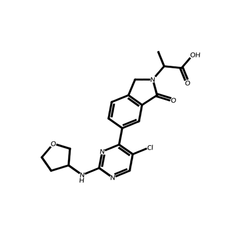 CC(C(=O)O)N1Cc2ccc(-c3nc(NC4CCOC4)ncc3Cl)cc2C1=O